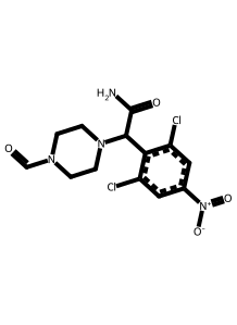 NC(=O)C(c1c(Cl)cc([N+](=O)[O-])cc1Cl)N1CCN(C=O)CC1